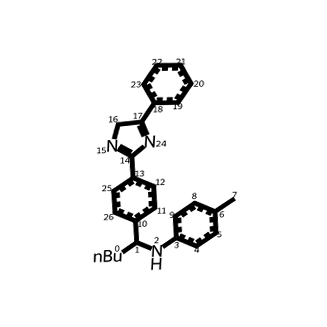 CCCCC(Nc1ccc(C)cc1)c1ccc(C2=NCC(c3ccccc3)=N2)cc1